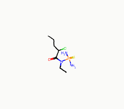 CCCC(Cl)C(=O)N(CC)P(N)(N)=S